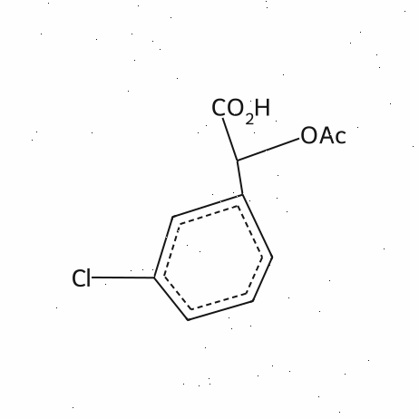 CC(=O)OC(C(=O)O)c1cccc(Cl)c1